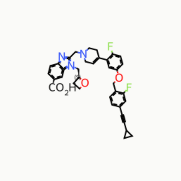 O=C(O)c1ccc2nc(CN3CC=C(c4cc(OCc5ccc(C#CC6CC6)cc5F)ccc4F)CC3)n(C[C@@H]3CCO3)c2c1